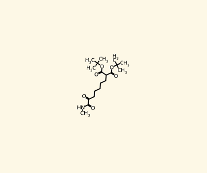 CNC(=O)C(=O)CCCCCC(C(=O)OC(C)(C)C)C(=O)OC(C)(C)C